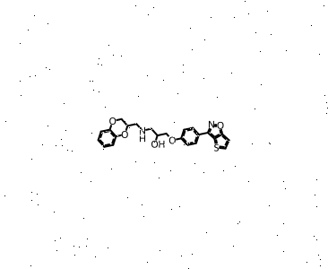 OC(CNCC1COc2ccccc2O1)COc1ccc(-c2noc3ccsc23)cc1